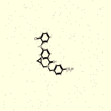 O=C(O)c1ccc(CN(CC2CC2)C(=O)c2ccc(Oc3ccccc3Cl)cc2)cc1